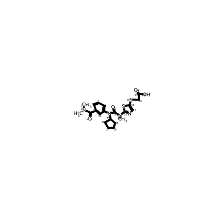 CN(C)C(=O)c1cccc(N(C(=O)N(C)c2ncc(SCC(=O)O)s2)C2CCCC2)c1